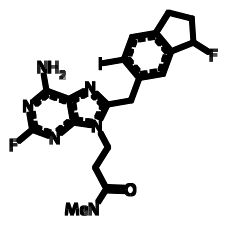 CNC(=O)CCn1c(Cc2cc3c(cc2I)CCC3F)nc2c(N)nc(F)nc21